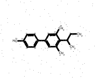 CCC(C)c1c(C)cc(-c2ccc(O)cc2)cc1C